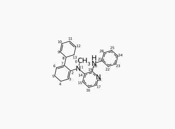 CN(C1=CCCC=C1C1C=CC=CC1)c1cccnc1Nc1ccccc1